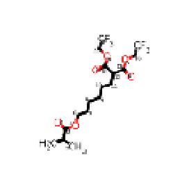 C=C(C)C(=O)OCCCCCCC(C(=O)OCC(F)(F)F)C(=O)OCC(F)(F)F